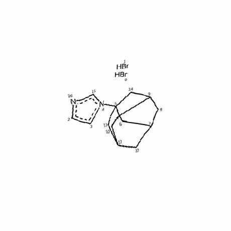 Br.Br.c1cn(C23CC4CC(CC(C4)C2)C3)cn1